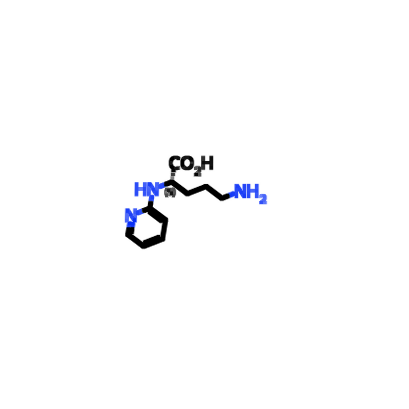 NCCC[C@H](Nc1ccccn1)C(=O)O